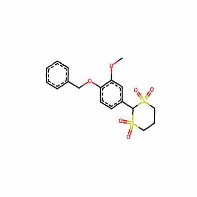 COc1cc(C2S(=O)(=O)CCCS2(=O)=O)ccc1OCc1ccccc1